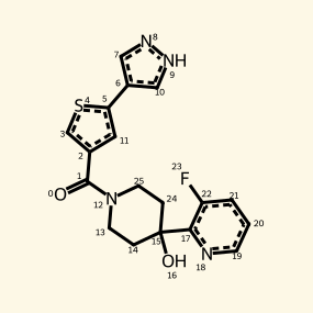 O=C(c1csc(-c2cn[nH]c2)c1)N1CCC(O)(c2ncccc2F)CC1